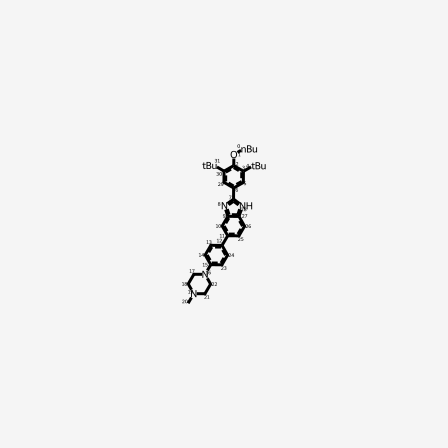 CCCCOc1c(C(C)(C)C)cc(-c2nc3cc(-c4ccc(N5CCN(C)CC5)cc4)ccc3[nH]2)cc1C(C)(C)C